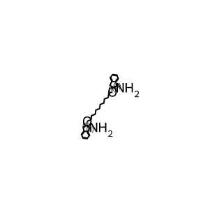 N[C@H]1c2ccccc2C[C@H]1OCCCCCCCCCCO[C@@H]1Cc2ccccc2[C@@H]1N